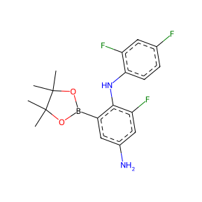 CC1(C)OB(c2cc(N)cc(F)c2Nc2ccc(F)cc2F)OC1(C)C